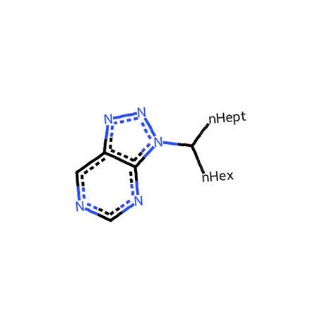 CCCCCCCC(CCCCCC)n1nnc2cncnc21